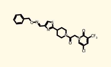 O=C(Cn1cc(Cl)cc(C(F)(F)F)c1=O)N1CCC(c2nc(/C=N/OCc3ccccc3)cs2)CC1